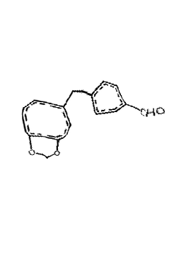 O=Cc1ccc(Cc2ccc3c(c2)OCO3)cc1